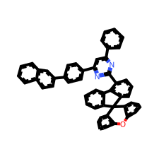 c1ccc(-c2cc(-c3ccc(-c4ccc5ccccc5c4)cc3)nc(-c3cccc4c3-c3ccccc3C43c4ccccc4Oc4ccccc43)n2)cc1